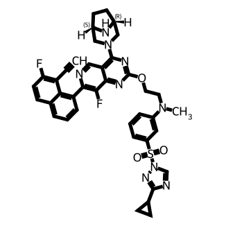 C#Cc1c(F)ccc2cccc(-c3ncc4c(N5C[C@H]6CC[C@@H](C5)N6)nc(OCCN(C)c5cccc(S(=O)(=O)n6cnc(C7CC7)n6)c5)nc4c3F)c12